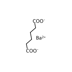 O=C([O-])CCCCC(=O)[O-].[Ba+2]